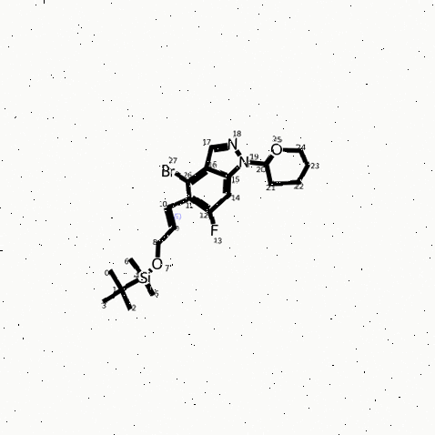 CC(C)(C)[Si](C)(C)OC/C=C/c1c(F)cc2c(cnn2C2CCCCO2)c1Br